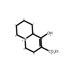 CCOC(=O)C1=C(O)C2CCCCN2CC1